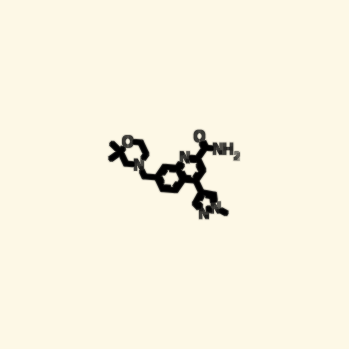 Cn1cc(-c2cc(C(N)=O)nc3cc(CN4CCOC(C)(C)C4)ccc23)cn1